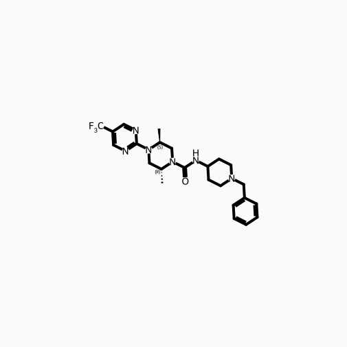 C[C@@H]1CN(c2ncc(C(F)(F)F)cn2)[C@@H](C)CN1C(=O)NC1CCN(Cc2ccccc2)CC1